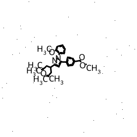 CCOC(=O)c1ccc(-c2cc(C3CC(C)(C)OC(C)(C)C3)nn2-c2ccccc2OC)cc1